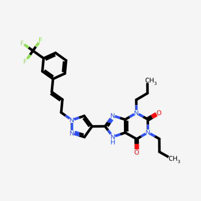 CCCn1c(=O)c2[nH]c(-c3cnn(CC=Cc4cccc(C(F)(F)F)c4)c3)nc2n(CCC)c1=O